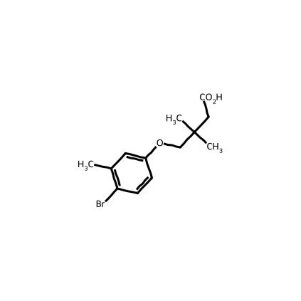 Cc1cc(OCC(C)(C)CC(=O)O)ccc1Br